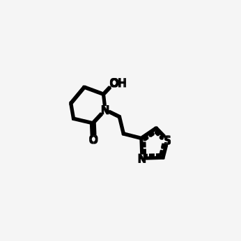 O=C1CCCC(O)N1CCc1cscn1